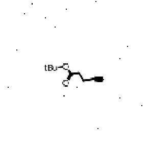 [C]#CCCC(=O)OC(C)(C)C